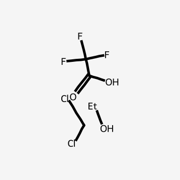 CCO.ClCCl.O=C(O)C(F)(F)F